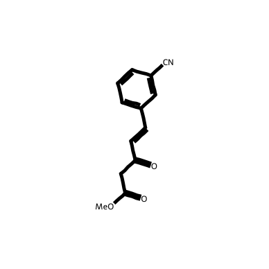 COC(=O)CC(=O)C=Cc1cccc(C#N)c1